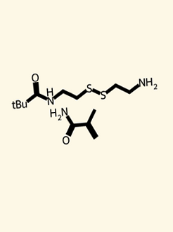 C=C(C)C(N)=O.CC(C)(C)C(=O)NCCSSCCN